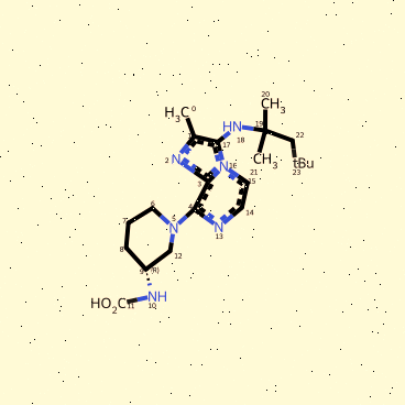 Cc1nc2c(N3CCC[C@@H](NC(=O)O)C3)nccn2c1NC(C)(C)CC(C)(C)C